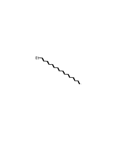 [CH]=CC=CC=CC=CC=CC=CC=CC=CCC